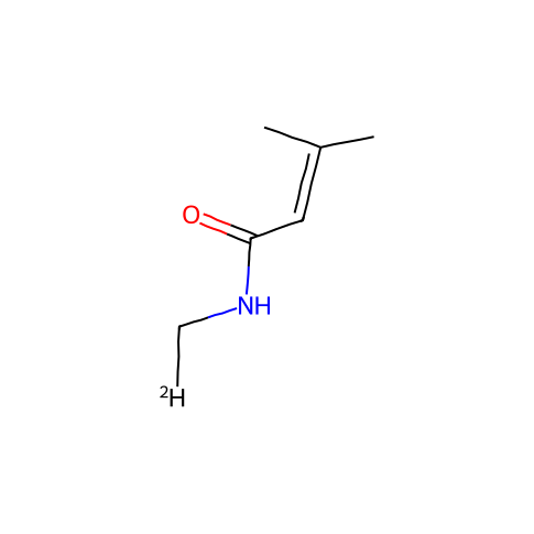 [2H]CNC(=O)C=C(C)C